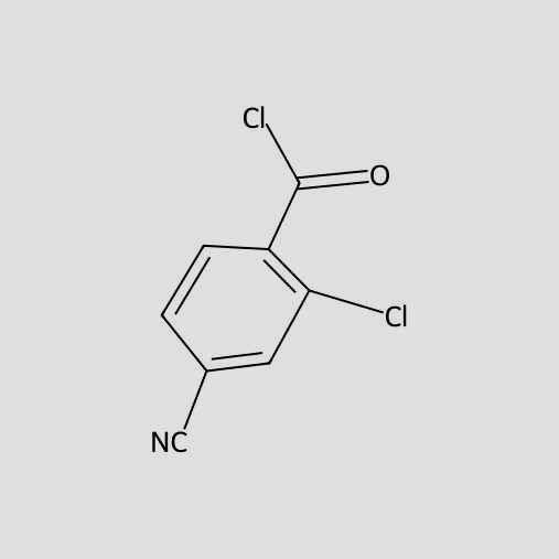 N#Cc1ccc(C(=O)Cl)c(Cl)c1